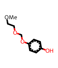 COCCOCOc1ccc(O)cc1